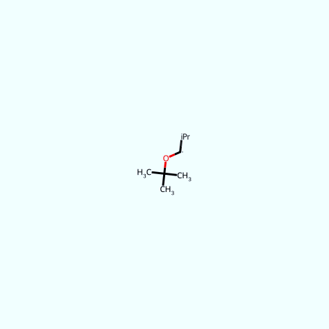 CC(C)[CH]OC(C)(C)C